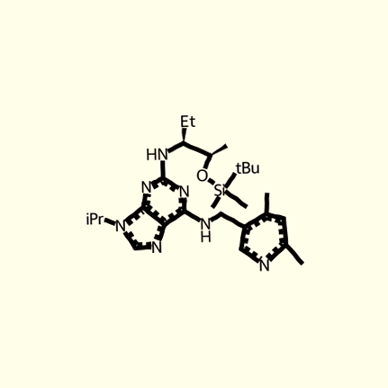 CC[C@H](Nc1nc(NCc2cnc(C)cc2C)c2ncn(C(C)C)c2n1)[C@@H](C)O[Si](C)(C)C(C)(C)C